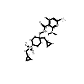 Cc1cc(C(F)(F)F)nc(N(C)C)c1C(=O)NC[C@]1(CC2CC2)CC[C@H](S(=O)(=O)CC2CC2)CC1